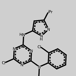 CC(C)c1cc(Nc2nc(Cl)nc(N(C)c3ccccc3Cl)n2)[nH]n1